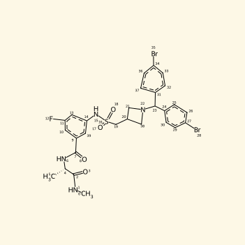 CNC(=O)[C@H](C)NC(=O)c1cc(F)cc(NS(=O)(=O)CC2CN(C(c3ccc(Br)cc3)c3ccc(Br)cc3)C2)c1